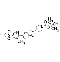 Cc1cc(S(C)(=O)=O)cnc1-c1ccc2c(c1)CC(C1CCN(C(=O)OC(C)(C)C)CC1)O2